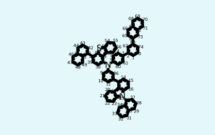 c1cc(-c2ccc(N(c3cccc(-c4cccc5c4c4ccccc4n5-c4cccc5ccccc45)c3)c3ccc(-c4cccc5ccccc45)c4sc5ccccc5c34)cc2)cc(-c2ccc3ccccc3c2)c1